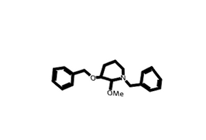 COC1C(OCc2ccccc2)CCCN1Cc1ccccc1